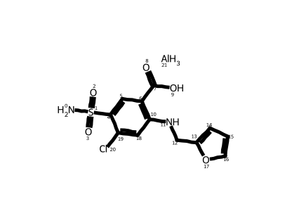 NS(=O)(=O)c1cc(C(=O)O)c(NCc2ccco2)cc1Cl.[AlH3]